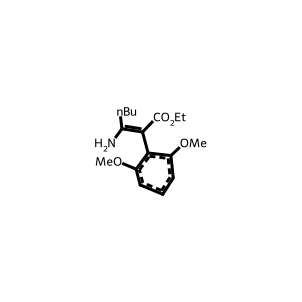 CCCCC(N)=C(C(=O)OCC)c1c(OC)cccc1OC